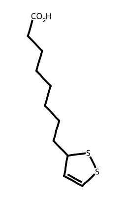 O=C(O)CCCCCCCC1C=CSS1